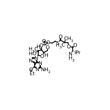 CCOc1nc(N)nc2c1ncn2[C@@H]1O[C@@H]2COP(=O)(OCCSC(=O)C(C)(C)COC(=O)[C@@H](N)C(C)C)O[C@H]2[C@@]1(C)O